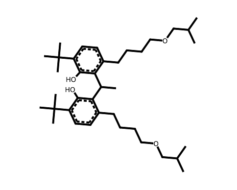 CC(C)COCCCCc1ccc(C(C)(C)C)c(O)c1C(C)c1c(CCCCOCC(C)C)ccc(C(C)(C)C)c1O